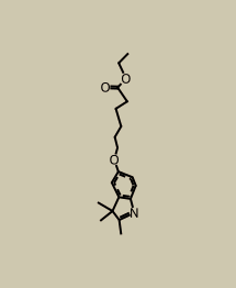 CCOC(=O)CCCCCOc1ccc2c(c1)C(C)(C)C(C)=N2